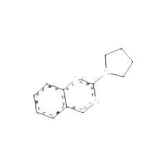 c1ccc2nc(N3CCCC3)ncc2c1